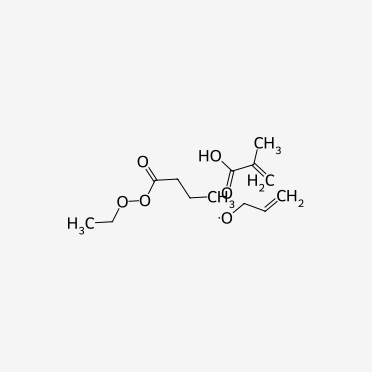 C=C(C)C(=O)O.C=CC[O].CCCC(=O)OOCC